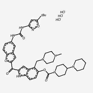 CN1CCN(Cc2c(OC(=O)N3CCC(N4CCCCC4)CC3)ccc3[nH]c(C(=O)c4cc5cc(NC(=O)Nc6cc(C(C)(C)C)on6)ccc5o4)cc23)CC1.Cl.Cl.Cl